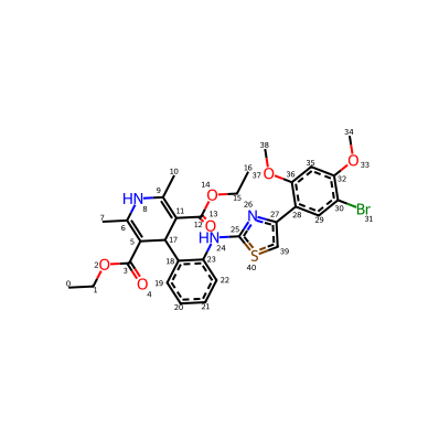 CCOC(=O)C1=C(C)NC(C)=C(C(=O)OCC)C1c1ccccc1Nc1nc(-c2cc(Br)c(OC)cc2OC)cs1